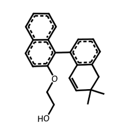 CC1(C)C=Cc2c(cccc2-c2c(OCCO)ccc3ccccc23)C1